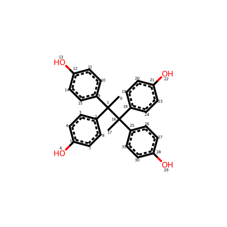 CC(c1ccc(O)cc1)(c1ccc(O)cc1)C(C)(c1ccc(O)cc1)c1ccc(O)cc1